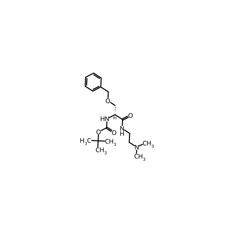 CN(C)CCNC(=O)[C@@H](COCc1ccccc1)NC(=O)OC(C)(C)C